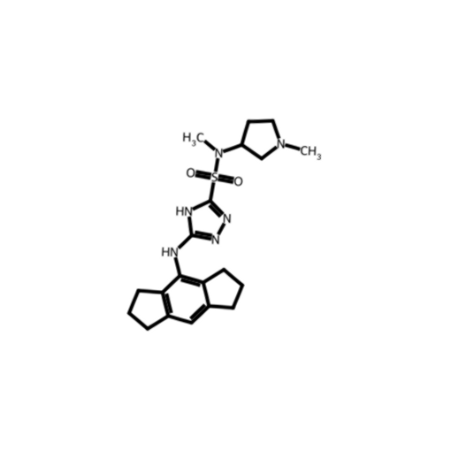 CN1CCC(N(C)S(=O)(=O)c2nnc(Nc3c4c(cc5c3CCC5)CCC4)[nH]2)C1